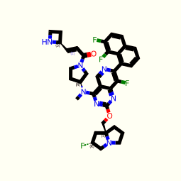 CN(c1nc(OC[C@@]23CCCN2C[C@H](F)C3)nc2c(F)c(-c3cccc4ccc(F)c(F)c34)ncc12)[C@@H]1CCN(C(=O)/C=C/[C@@H]2CCN2)C1